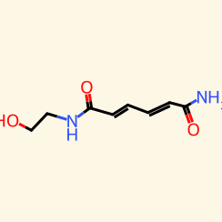 NC(=O)C=CC=CC(=O)NCCO